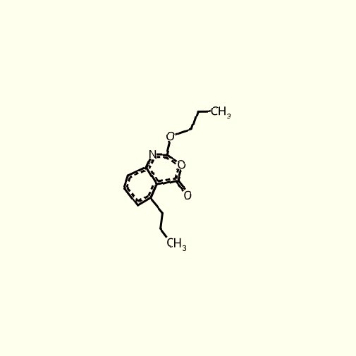 CCCOc1nc2cccc(CCC)c2c(=O)o1